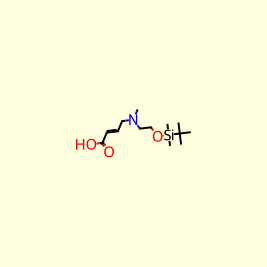 CN(C/C=C/C(=O)O)CCO[Si](C)(C)C(C)(C)C